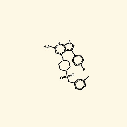 Cc1cccc(CS(=O)(=O)N2CCN(c3nc(N)nc4scc(-c5ccc(F)cc5)c34)CC2)c1